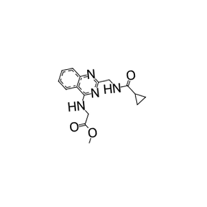 COC(=O)CNc1nc(CNC(=O)C2CC2)nc2ccccc12